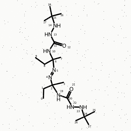 CCC(C)(N=NC(C)(CC)NC(=O)NNC(C)(C)C)NC(=O)NNC(C)(C)C